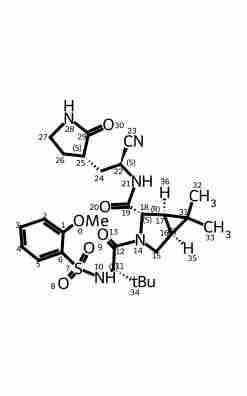 COc1ccccc1S(=O)(=O)N[C@H](C(=O)N1C[C@H]2[C@@H]([C@H]1C(=O)N[C@H](C#N)C[C@@H]1CCNC1=O)C2(C)C)C(C)(C)C